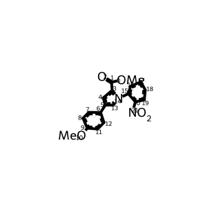 COC(=O)c1cc(-c2ccc(OC)cc2)cn1-c1ccccc1[N+](=O)[O-]